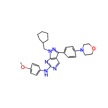 COc1ccc(Nc2ncc3c(-c4ccc(N5CCOCC5)cc4)nn(CC4CCCCC4)c3n2)cc1